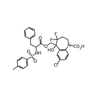 Cc1ccc(S(=O)(=O)NC(Cc2ccccc2)C(=O)OC[C@@]2(O)c3cc(Cl)ccc3N(C(=O)O)CCC2(F)F)cc1